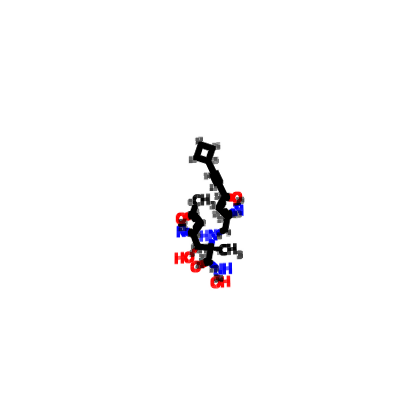 Cc1cc([C@H](O)[C@](C)(NCc2cc(C#CC3CCC3)on2)C(=O)NO)no1